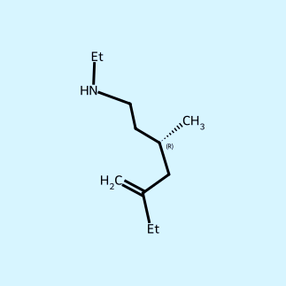 C=C(CC)C[C@@H](C)CCNCC